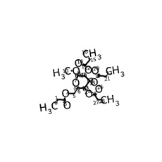 CCC(=O)OC[C@H]1O[C@@H](OC)[C@H](OC(=O)CC)[C@@H](OC(=O)CC)[C@H]1OC(=O)CC